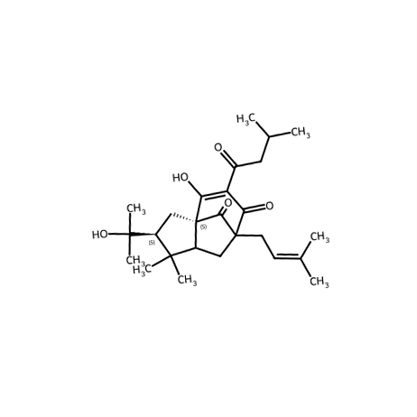 CC(C)=CCC12CC3C(C)(C)[C@@H](C(C)(C)O)C[C@@]3(C1=O)C(O)=C(C(=O)CC(C)C)C2=O